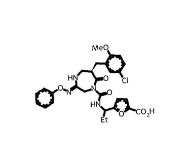 CCC(NC(=O)N1C/C(=N/Oc2ccccc2)NC[C@@H](Cc2cc(Cl)ccc2OC)C1=O)c1ccc(C(=O)O)o1